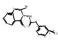 CC(C)c1nc2ccccc2c(=O)n1NC(=O)Cc1cccc(F)c1